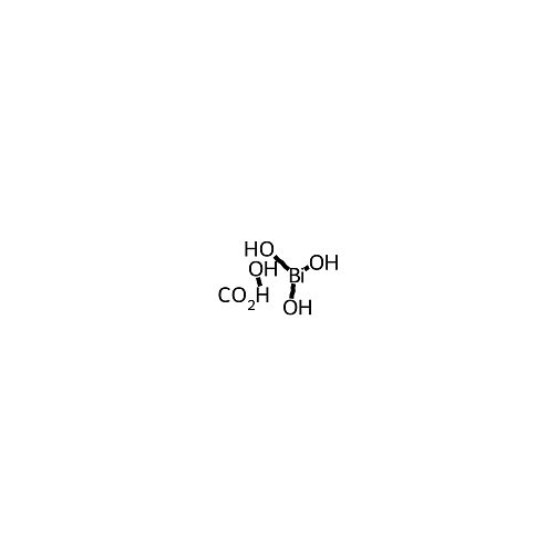 O=C(O)O.[OH][Bi]([OH])[OH]